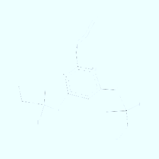 O=C=Nc1nc(OC(F)(F)CF)cc(OC(F)(F)CF)n1